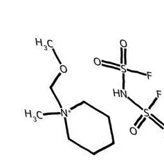 COC[N+]1(C)CCCCC1.O=S(=O)(F)NS(=O)(=O)F